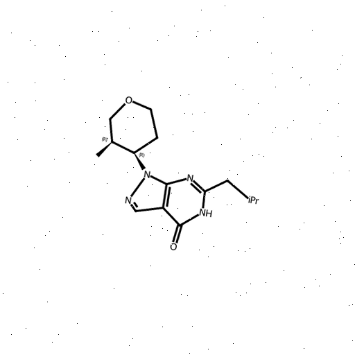 CC(C)Cc1nc2c(cnn2[C@@H]2CCOC[C@@H]2C)c(=O)[nH]1